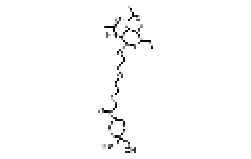 CCC1OC(OCCOCCOCC(=O)N2CCC(CO)(CO)CC2)C(NC(C)=O)C(OC(C)=O)C1C